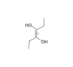 CC/C(O)=C(\O)CC